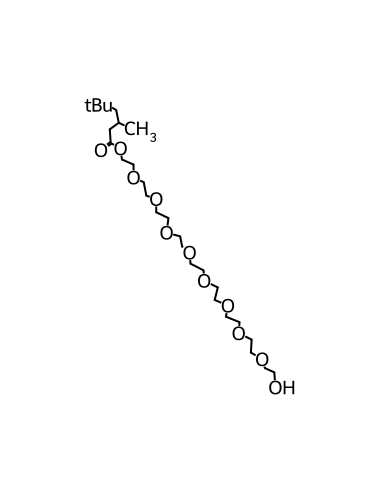 CC(CC(=O)OCCOCCOCCOCCOCCOCCOCCOCCOCCO)CC(C)(C)C